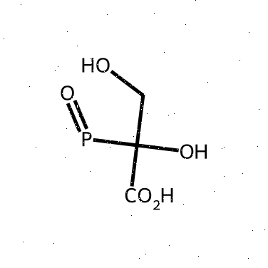 O=PC(O)(CO)C(=O)O